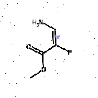 COC(=O)/C(F)=C\N